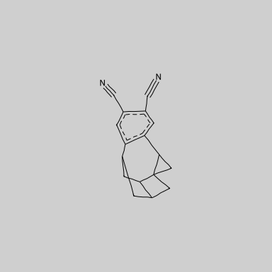 N#Cc1cc2c(cc1C#N)C1CC13CC1CC2CC13